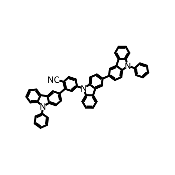 N#Cc1ccc(-n2c3ccccc3c3cc(-c4ccc5c(c4)c4ccccc4n5-c4ccccc4)ccc32)cc1-c1ccc2c(c1)c1ccccc1n2-c1ccccc1